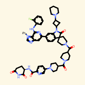 CC(C)n1cnc2cc(-c3ccc4c(c3)N(C3CC(N5CCCCC5)C3)C(=O)C43CCN(C(=O)C4CCN(C(=O)C5CCN(c6ccc(C(=O)N[C@@H]7CCC(=O)NC7=O)nc6)CC5)CC4)CC3)nc(Nc3ccccc3F)c21